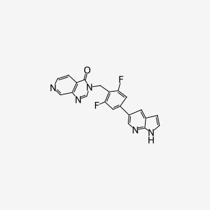 O=c1c2ccncc2ncn1Cc1c(F)cc(-c2cnc3[nH]ccc3c2)cc1F